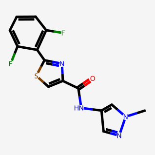 Cn1cc(NC(=O)c2csc(-c3c(F)cccc3F)n2)cn1